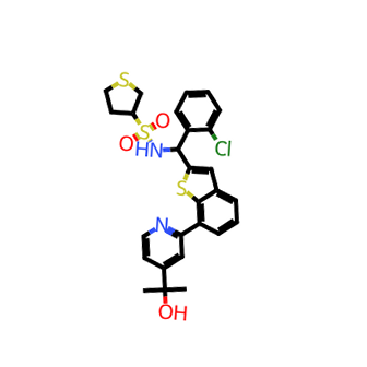 CC(C)(O)c1ccnc(-c2cccc3cc(C(NS(=O)(=O)C4CCSC4)c4ccccc4Cl)sc23)c1